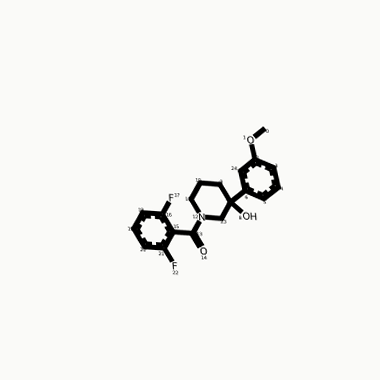 COc1cccc(C2(O)CCCN(C(=O)c3c(F)cccc3F)C2)c1